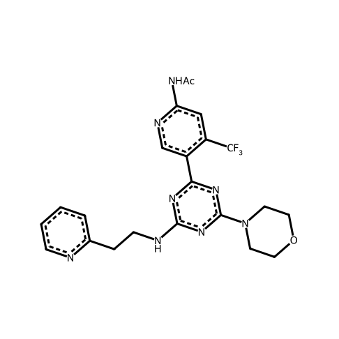 CC(=O)Nc1cc(C(F)(F)F)c(-c2nc(NCCc3ccccn3)nc(N3CCOCC3)n2)cn1